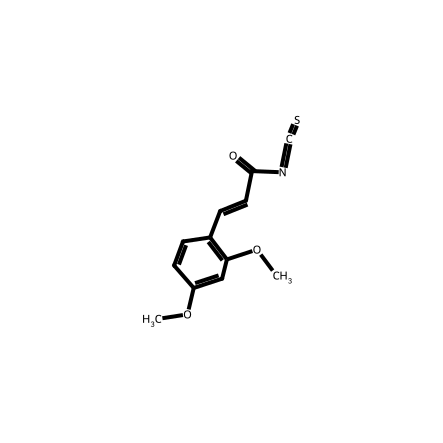 COc1ccc(/C=C/C(=O)N=C=S)c(OC)c1